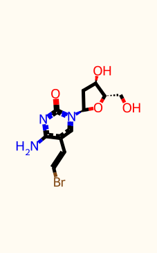 Nc1nc(=O)n([C@H]2C[C@@H](O)[C@H](CO)O2)cc1C=CBr